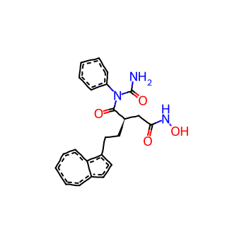 NC(=O)N(C(=O)[C@H](CCc1ccc2cccccc1-2)CC(=O)NO)c1ccccc1